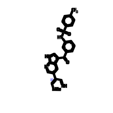 CN/C=C(\C=N)c1cnc2[nH]cc(C(=O)c3cccc(NS(=O)(=O)c4ccc(C(F)(F)F)cc4)c3)c2c1